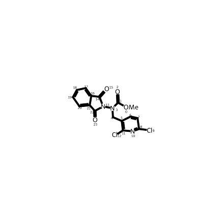 COC(=O)N(Cc1ccc(Cl)nc1Cl)N1C(=O)c2ccccc2C1=O